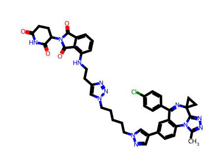 Cc1nnc2n1-c1ccc(-c3cnn(CCCCCn4cc(CCNc5cccc6c5C(=O)N(C5CCC(=O)NC5=O)C6=O)nn4)c3)cc1C(c1ccc(Cl)cc1)=NC21CC1